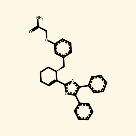 NC(=O)COc1cccc(C[C@@H]2CCCC=C2c2nc(-c3ccccc3)c(-c3ccccc3)o2)c1